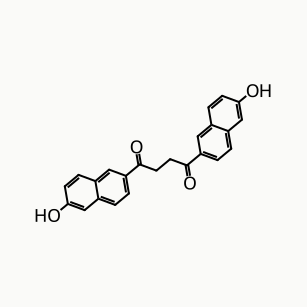 O=C(CCC(=O)c1ccc2cc(O)ccc2c1)c1ccc2cc(O)ccc2c1